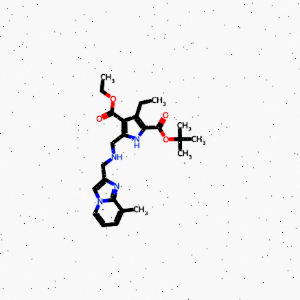 CCOC(=O)c1c(CNCc2cn3cccc(C)c3n2)[nH]c(C(=O)OC(C)(C)C)c1CC